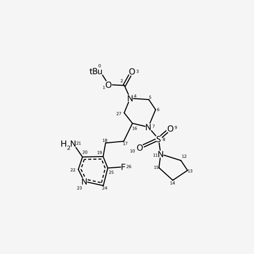 CC(C)(C)OC(=O)N1CCN(S(=O)(=O)N2CCCC2)C(CCc2c(N)cncc2F)C1